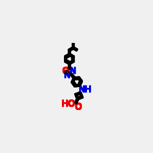 CC(C)Cc1ccc(-c2nc(-c3ccc(NC4CC(C(=O)O)C4)cc3)no2)cc1